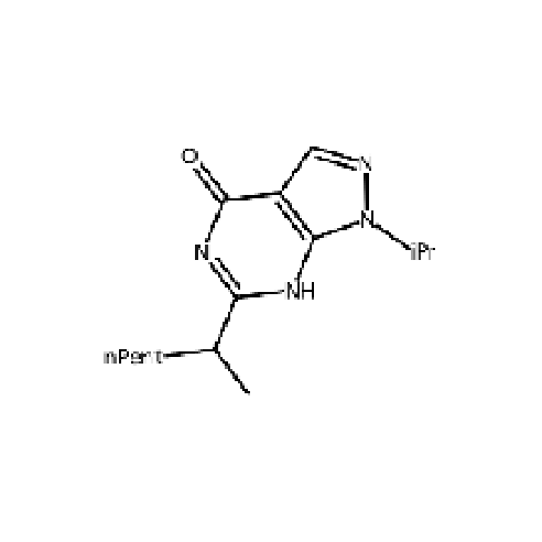 CCCCCC(C)c1nc(=O)c2cnn(C(C)C)c2[nH]1